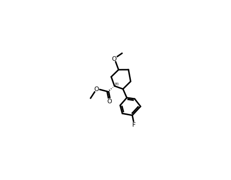 COC(=O)[C@@H]1CC(OC)CCC1c1ccc(F)cc1